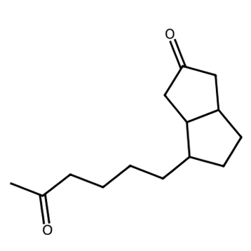 CC(=O)CCCCC1CCC2CC(=O)CC12